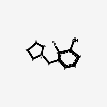 Oc1cccc(CN2CCCC2)c1F